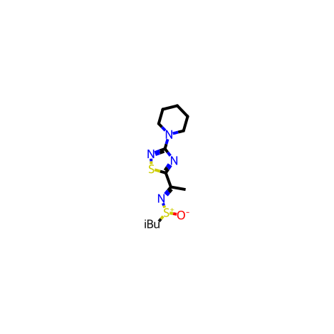 CCC(C)[S+]([O-])/N=C(\C)c1nc(N2CCCCC2)ns1